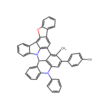 Cc1c(-c2ccc(C#N)cc2)cc2c3c1-c1cc4c5ccccc5oc4c4c5ccccc5n(c14)B3c1ccccc1N2c1ccccc1